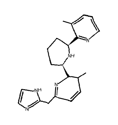 Cc1cccnc1[C@@H]1CCC[C@H](C2N=C(Cc3ncc[nH]3)C=CC2C)N1